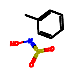 Cc1ccccc1.O=S(=O)=NO